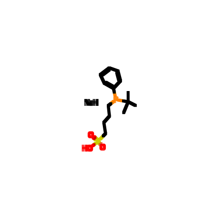 CC(C)(C)P(CCCCS(=O)(=O)O)c1ccccc1.[NaH]